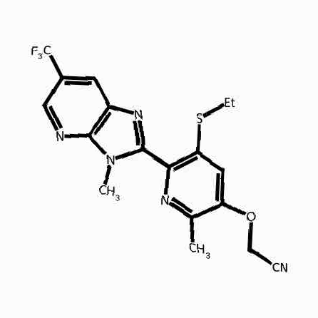 CCSc1cc(OCC#N)c(C)nc1-c1nc2cc(C(F)(F)F)cnc2n1C